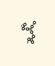 Fc1cccc2c1c1ccccc1n2-c1cccc(-c2ccc(N(c3ccc(-c4ccccc4)cc3)c3ccc(-c4cccc5oc6ccccc6c45)cc3)cc2)c1